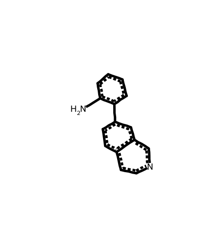 Nc1ccccc1-c1ccc2ccncc2c1